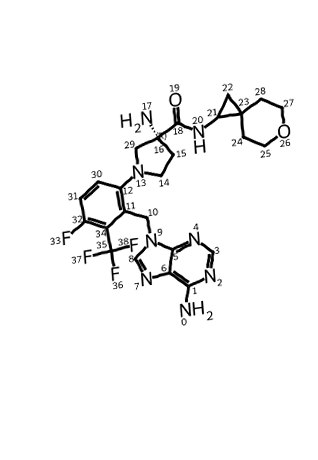 Nc1ncnc2c1ncn2Cc1c(N2CC[C@](N)(C(=O)NC3CC34CCOCC4)C2)ccc(F)c1C(F)(F)F